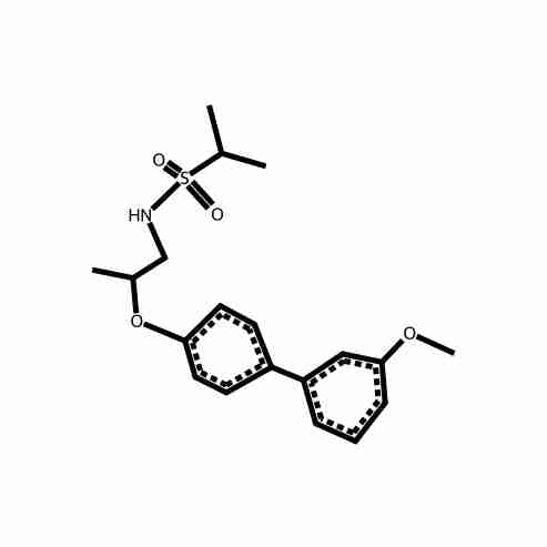 COc1cccc(-c2ccc(OC(C)CNS(=O)(=O)C(C)C)cc2)c1